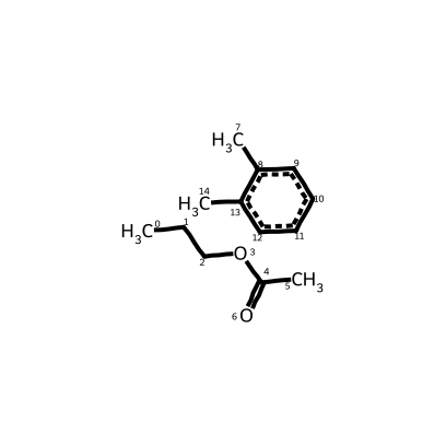 CCCOC(C)=O.Cc1ccccc1C